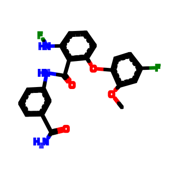 COc1cc(F)ccc1Oc1cccc(NF)c1C(=O)Nc1cccc(C(N)=O)c1